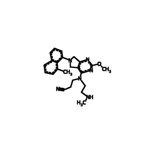 CNCCN(CCC#N)c1nc(OC)nc2c1CN(c1cccc3cccc(C)c13)C2